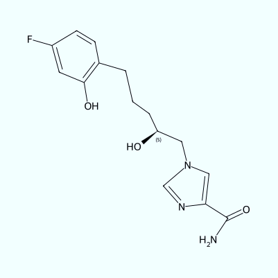 NC(=O)c1cn(C[C@@H](O)CCCc2ccc(F)cc2O)cn1